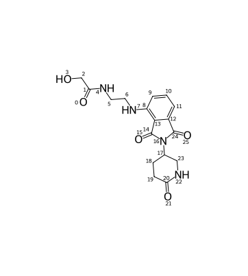 O=C(CO)NCCNc1cccc2c1C(=O)N(C1CCC(=O)NC1)C2=O